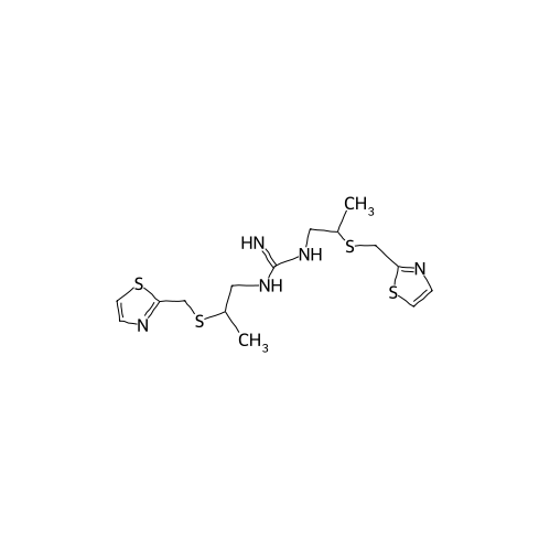 CC(CNC(=N)NCC(C)SCc1nccs1)SCc1nccs1